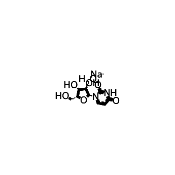 O.O=c1ccn([C@@H]2O[C@H](CO)[C@@H](O)[C@H]2O)c(=O)[nH]1.[Na]